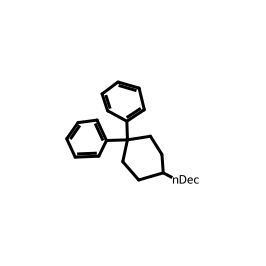 CCCCCCCCCCC1CCC(c2ccccc2)(c2ccccc2)CC1